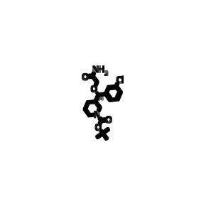 CC(C)(C)OC(=O)N1CCCC([C@@H](OCC(N)=O)c2cccc(Cl)c2)C1